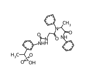 CC(C(=O)Nc1ccccc1)N(C(=O)CNC(=O)Nc1cccc(C(C)S(=O)(=O)O)c1)c1ccccc1